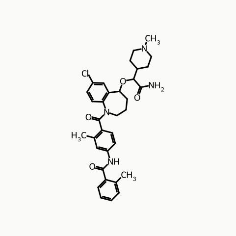 Cc1ccccc1C(=O)Nc1ccc(C(=O)N2CCCC(OC(C(N)=O)C3CCN(C)CC3)c3cc(Cl)ccc32)c(C)c1